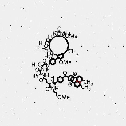 COCCCNC(=O)[C@@H](CCC(=O)N[C@@H](C(=O)N[C@H](C)C(=O)Nc1ccc(-c2c(OC)cc3cc2N(C)C(=O)C[C@H](OC(=O)C(C)C)[C@]2(C)O[C@H]2C[C@@H]2CC(O)(NC(=O)O2)[C@H](OC)/C=C\C=C(\C)C3)cc1)C(C)C)NC(=O)c1ccc(C(=O)C(CS(=O)(=O)c2ccc(C)cc2)CS(=O)(=O)c2ccc(C)cc2)cc1